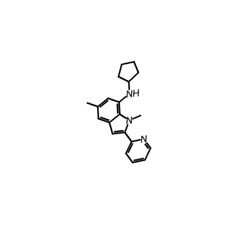 Cc1cc(NC2CCCC2)c2c(c1)cc(-c1ccccn1)n2C